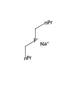 CCCC[P-]CCCC.[Na+]